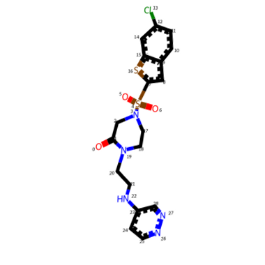 O=C1CN(S(=O)(=O)c2cc3ccc(Cl)cc3s2)CCN1CCNc1ccnnc1